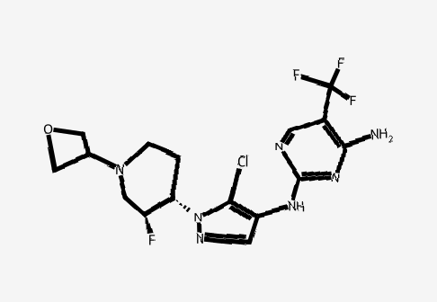 Nc1nc(Nc2cnn([C@H]3CCN(C4COC4)C[C@@H]3F)c2Cl)ncc1C(F)(F)F